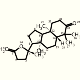 C=C1CC[C@@](C)([C@H]2CCC3[C@@]2(C)CC[C@H]2C(C)(C)C(=O)CC[C@]32C)O1